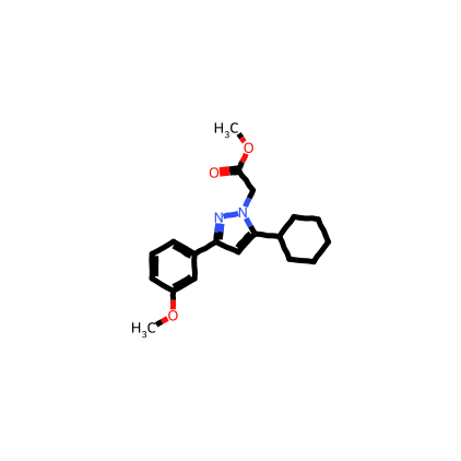 COC(=O)Cn1nc(-c2cccc(OC)c2)cc1C1CCCCC1